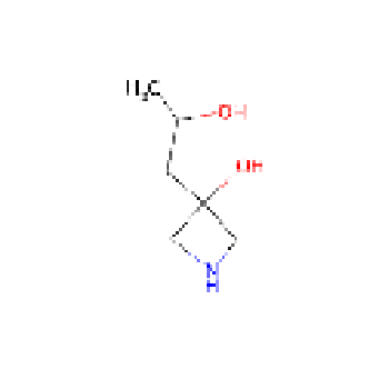 CC(O)CC1(O)CNC1